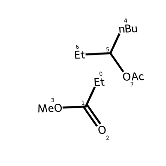 CCC(=O)OC.CCCCC(CC)OC(C)=O